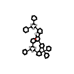 c1ccc(-c2nc(-c3ccccc3)nc(-c3cccc4c3-c3cc(-c5ccc6oc7c(-c8nc(-c9ccccc9)nc(-c9ccccc9)n8)cccc7c6c5)ccc3C4(c3ccccc3)c3ccccc3)n2)cc1